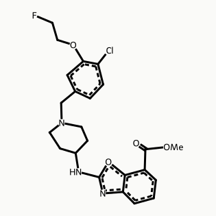 COC(=O)c1cccc2nc(NC3CCN(Cc4ccc(Cl)c(OCCF)c4)CC3)oc12